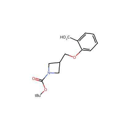 CC(C)(C)OC(=O)N1CC(COc2ccccc2C(=O)O)C1